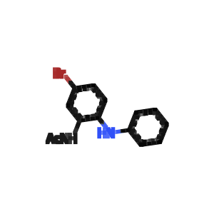 CC(=O)Nc1cc(Br)ccc1Nc1ccccc1